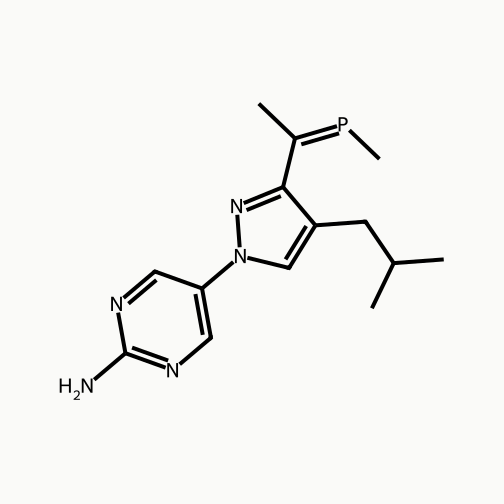 C/P=C(/C)c1nn(-c2cnc(N)nc2)cc1CC(C)C